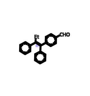 CC/C(=C(/c1ccccc1)c1ccc(C=O)cc1)c1ccccc1